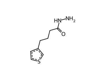 NNC(=O)CCCc1ccsc1